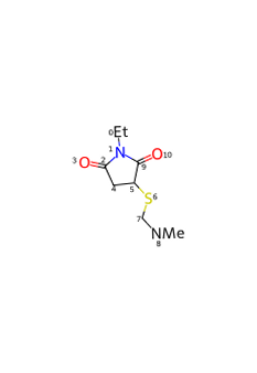 CCN1C(=O)CC(SCNC)C1=O